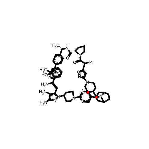 Cc1ncsc1-c1ccc([C@H](C)NC(=O)[C@@H]2CCCN2C(=O)C(c2cc(N3CCC(CN4C5CCC4CC(c4cnc(N6CCC(n7nc(N)c(N)c7/C=C(\N)c7ccccc7O)CC6)nc4)C5)CC3)no2)C(C)C)cc1